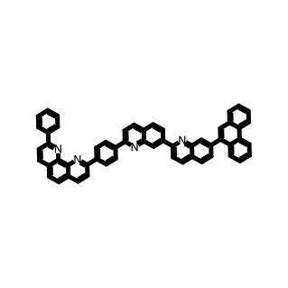 c1ccc(-c2ccc3ccc4ccc(-c5ccc(-c6ccc7ccc(-c8ccc9ccc(-c%10cc%11ccccc%11c%11ccccc%10%11)cc9n8)cc7n6)cc5)nc4c3n2)cc1